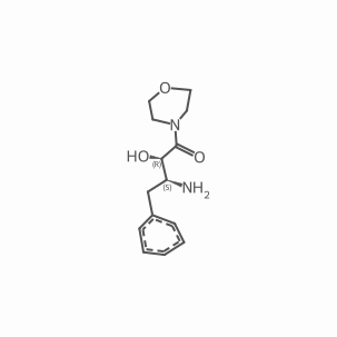 N[C@@H](Cc1ccccc1)[C@@H](O)C(=O)N1CCOCC1